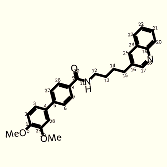 COc1ccc(-c2ccc(C(=O)NCCCCc3cnc4ccccc4c3)cc2)cc1OC